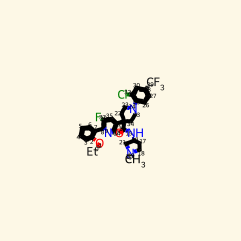 CCOc1ccccc1-c1ncc(C2(C(=O)N[C@H]3CCN(C)C3)CCN(c3ccc(C(F)(F)F)cc3Cl)CC2)cc1F